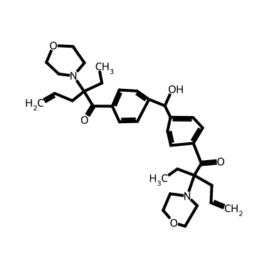 C=CCC(CC)(C(=O)c1ccc(C(O)c2ccc(C(=O)C(CC)(CC=C)N3CCOCC3)cc2)cc1)N1CCOCC1